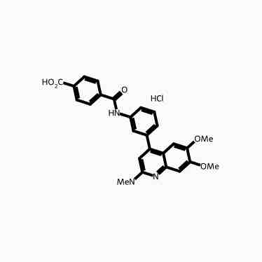 CNc1cc(-c2cccc(NC(=O)c3ccc(C(=O)O)cc3)c2)c2cc(OC)c(OC)cc2n1.Cl